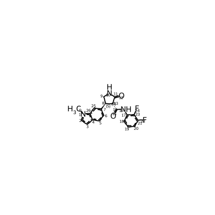 Cn1ccc2ccc([C@H]3CNC(=O)[C@@H]3C(=O)Nc3cccc(F)c3F)cc21